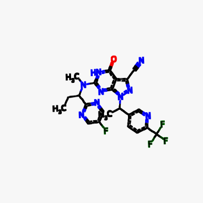 CCC(c1ncc(F)cn1)N(C)c1nc2c(c(C#N)nn2C(C)c2ccc(C(F)(F)F)nc2)c(=O)[nH]1